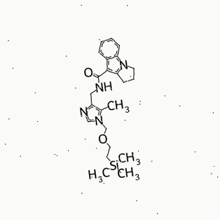 Cc1c(CNC(=O)c2c3n(c4ccccc24)CCC3)ncn1COCC[Si](C)(C)C